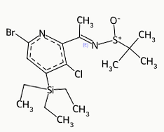 CC[Si](CC)(CC)c1cc(Br)nc(/C(C)=N/[S+]([O-])C(C)(C)C)c1Cl